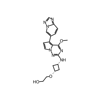 COc1nc(N[C@H]2C[C@@H](OCCO)C2)nn2ccc(-c3ccc4ncnn4c3)c12